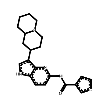 O=C(Nc1ccc2[nH]cc(C3CCN4CCCCC4C3)c2n1)c1ccoc1